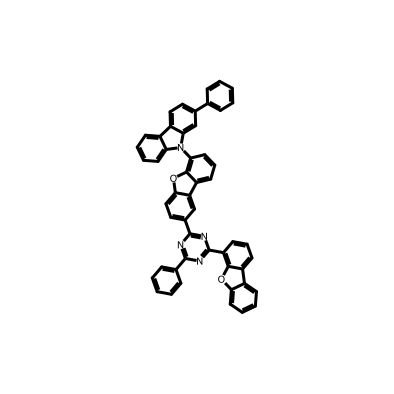 c1ccc(-c2ccc3c4ccccc4n(-c4cccc5c4oc4ccc(-c6nc(-c7ccccc7)nc(-c7cccc8c7oc7ccccc78)n6)cc45)c3c2)cc1